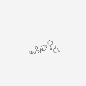 Cc1ccc(Sc2ccccc2N2CCN(OC(=O)C(C)(C)C)CC2)c(C)c1